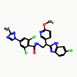 COc1ccc(C(CNC(=O)c2c(Cl)cc(-n3cnc(C)n3)cc2Cl)c2nc3ccc(Cl)cc3[nH]2)cn1